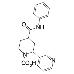 O=C(Nc1ccccc1)C1CCN(C(=O)O)C(c2cccnc2)C1